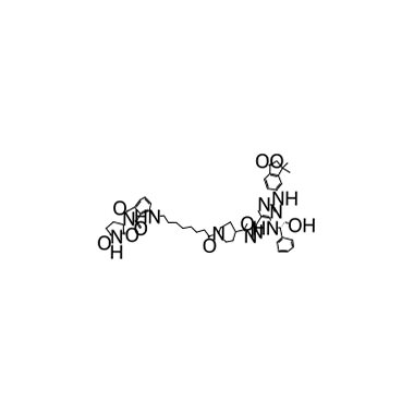 CC1(C)OC(=O)c2ccc(Nc3ncc(-c4nnc(C5CCN(C(=O)CCCCCCCNc6cccc7c6C(=O)N(C6CCC(=O)NC6=O)C7=O)CC5)o4)c(N[C@H](CO)c4ccccc4)n3)cc21